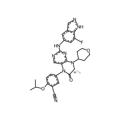 CC(C)Oc1ccc(N2C(=O)[C@@H](C)N(C3CCOCC3)c3nc(Nc4cc(F)c5[nH]ncc5c4)ncc32)cc1C#N